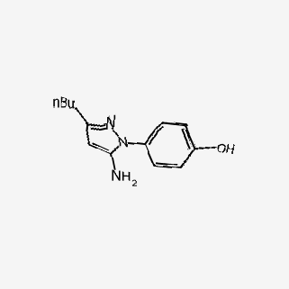 CCCCc1cc(N)n(-c2ccc(O)cc2)n1